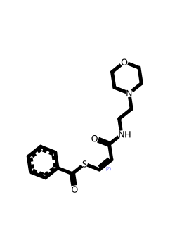 O=C(/C=C\SC(=O)c1ccccc1)NCCN1CCOCC1